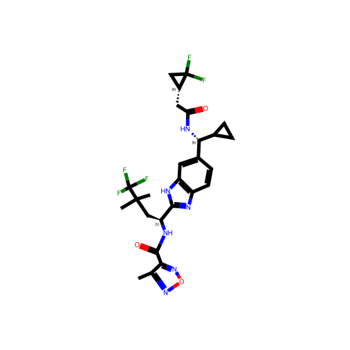 Cc1nonc1C(=O)N[C@@H](CC(C)(C)C(F)(F)F)c1nc2ccc([C@H](NC(=O)C[C@@H]3CC3(F)F)C3CC3)cc2[nH]1